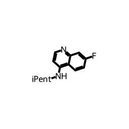 C[CH]CC(C)Nc1ccnc2cc(F)ccc12